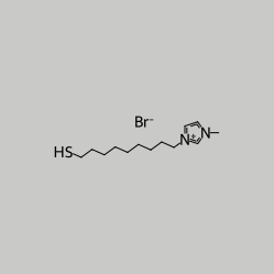 Cn1cc[n+](CCCCCCCCCS)c1.[Br-]